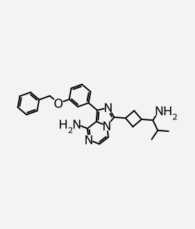 CC(C)C(N)C1CC(c2nc(-c3cccc(OCc4ccccc4)c3)c3c(N)nccn23)C1